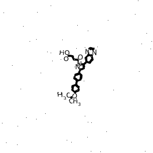 CC(C)Oc1ccc(-c2ccc(C3=NN(C(=O)CCC(=O)O)C(c4ccc5nccnc5c4)C3)cc2)cc1